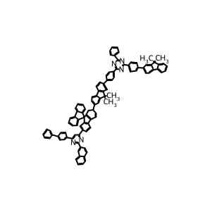 CC1(C)c2ccccc2-c2ccc(-c3ccc(-c4nc(-c5ccccc5)nc(-c5ccc(-c6ccc7c(c6)C(C)(C)c6cc(C8C=CC9=C(C8)C8(c%10cc(-c%11cc(-c%12ccc(-c%13ccccc%13)cc%12)nc(-c%12ccc%13ccccc%13c%12)n%11)ccc%109)c9ccccc9-c9ccccc98)ccc6-7)cc5)n4)cc3)cc21